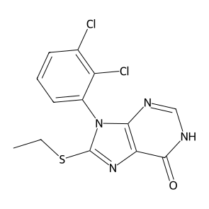 CCSc1nc2c(=O)[nH]cnc2n1-c1cccc(Cl)c1Cl